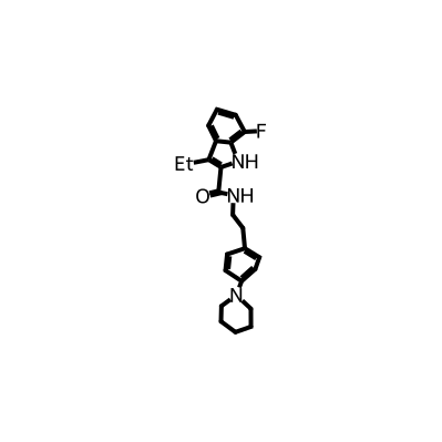 CCc1c(C(=O)NCCc2ccc(N3CCCCC3)cc2)[nH]c2c(F)cccc12